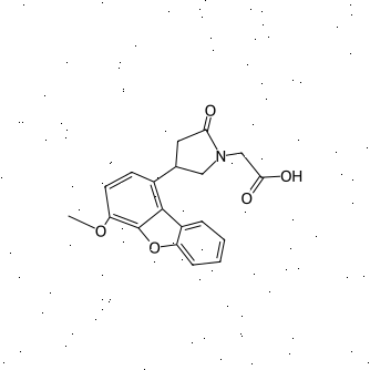 COc1ccc(C2CC(=O)N(CC(=O)O)C2)c2c1oc1ccccc12